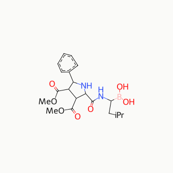 COC(=O)C1C(C(=O)NC(CC(C)C)B(O)O)NC(c2ccccc2)C1C(=O)OC